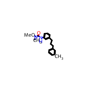 CON(C)C(=O)Nc1cccc(CCCc2cccc(C)c2)c1